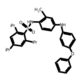 Cc1cc(Nc2ccc(Oc3ccccc3)cc2)ccc1NS(=O)(=O)c1c(C(C)C)cc(C(C)C)cc1C(C)C